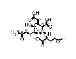 CSCC[C@H](NN(N[C@@H](CCC(N)=O)C(=O)O)[C@@H](CCC(=O)O)C(N)=O)C(=O)O